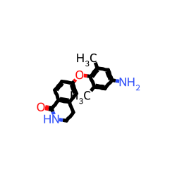 Cc1cc(N)cc(C)c1Oc1ccc2c(c1)CCNC2=O